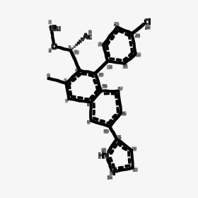 CC(=O)[C@@H](OC(C)(C)C)c1c(C)cc2cc(-c3ccn[nH]3)ccc2c1-c1ccc(Cl)cc1